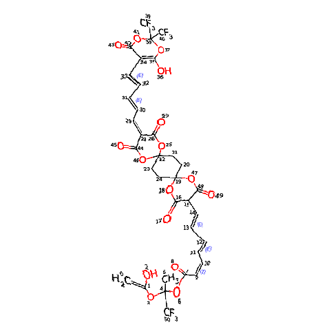 C=C(O)OC(C)(OC(=O)\C=C/C=C/C=C/C1C(=O)OC2(CCC3(CC2)OC(=O)C(=C/C=C/C=C/C2=C(O)OC(C(F)(F)F)(C(F)(F)F)OC2=O)C(=O)O3)OC1=O)C(F)(F)F